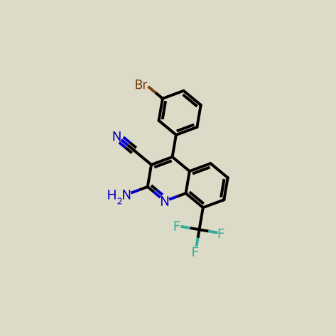 N#Cc1c(N)nc2c(C(F)(F)F)cccc2c1-c1cccc(Br)c1